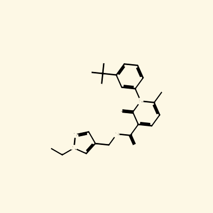 CCn1cc(CNC(=O)c2ccc(C)n(-c3cccc(C(F)(F)F)c3)c2=O)cn1